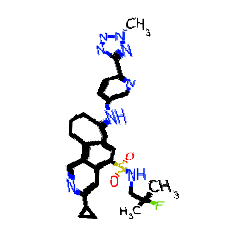 Cn1nnc(-c2ccc(NC3CCCc4c3cc(S(=O)(=O)NCC(C)(C)F)c3cc(C5CC5)ncc43)cn2)n1